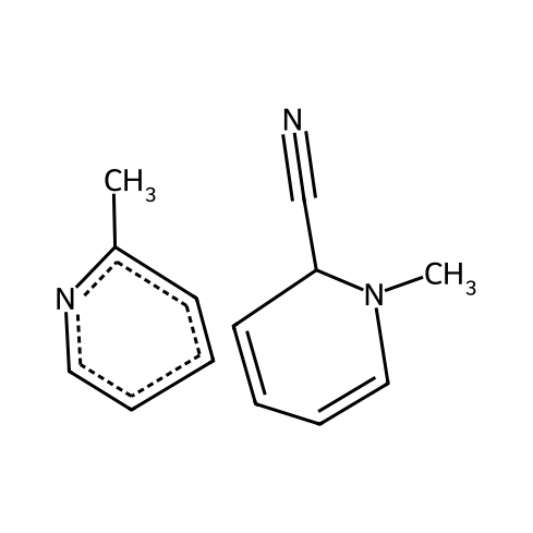 CN1C=CC=CC1C#N.Cc1ccccn1